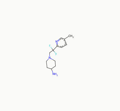 Cc1ccc(C(F)(F)CN2CCC(N)CC2)nc1